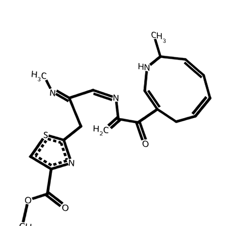 C=C(/N=C\C(Cc1nc(C(=O)OC)cs1)=N/C)C(=O)/C1=C/NC(C)/C=C\C=C/C1